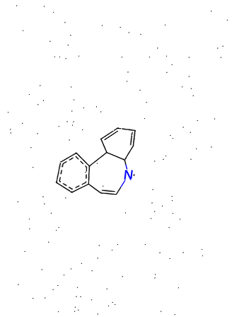 C1=CC2[N]C=Cc3ccccc3C2C=C1